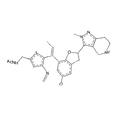 C=Nc1cc(CNC(C)=O)sc1/C(=C\C)c1cc(Cl)cc2c1OC(c1c3c(nn1C)CCNC3)C2